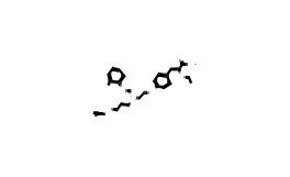 CCOC(Cc1ccc(OCCN(CCCOCC(F)(F)F)C(=O)Oc2ccccc2Cl)cc1)C(=O)O